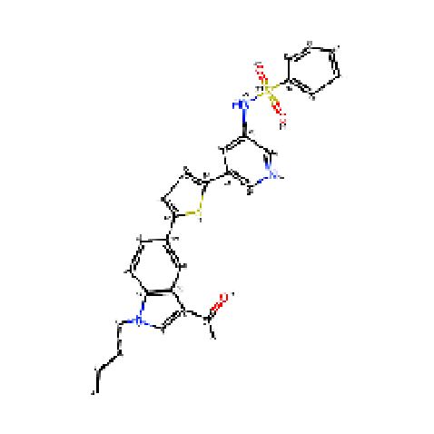 CCCCn1cc(C(C)=O)c2cc(-c3ccc(-c4cncc(NS(=O)(=O)c5ccccc5)c4)s3)ccc21